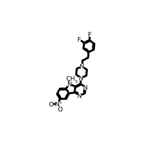 Cn1c2ccc([N+](=O)[O-])cc2c2ncnc(N3CCN(CCc4ccc(F)c(F)c4)CC3)c21